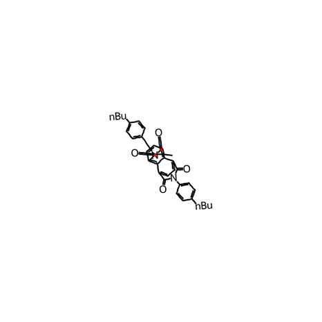 CCCCc1ccc(-n2c(=O)c3ccc(c2=O)c2c4ccc(c(=O)n(-c5ccc(CCCC)cc5)c4=O)c32)cc1